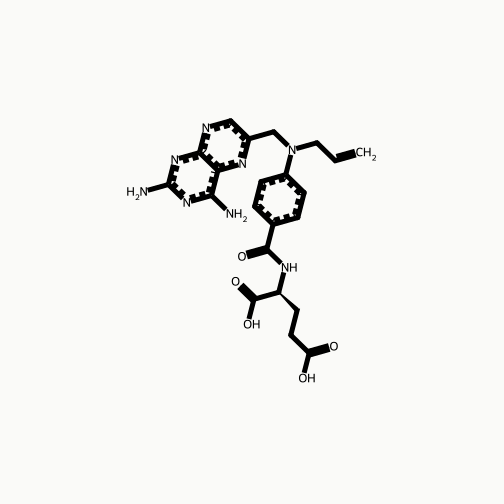 C=CCN(Cc1cnc2nc(N)nc(N)c2n1)c1ccc(C(=O)N[C@@H](CCC(=O)O)C(=O)O)cc1